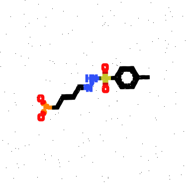 Cc1ccc(S(=O)(=O)N/N=C/C=C/CP(=O)=O)cc1